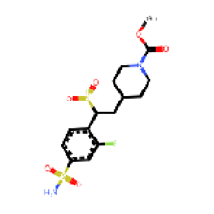 CC(C)(C)OC(=O)N1CCC(CC(c2ccc(S(N)(=O)=O)cc2F)[SH](=O)=O)CC1